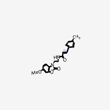 COc1ccc2c(c1)oc(=O)n2CCNC(=O)/C=C/c1ccc(C)cc1